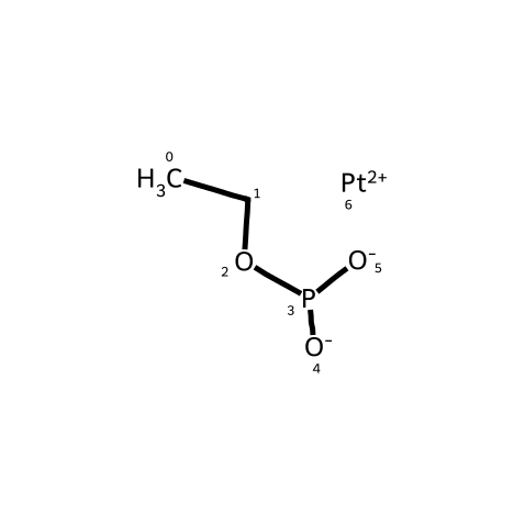 CCOP([O-])[O-].[Pt+2]